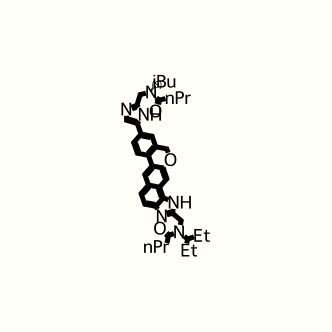 CCCC(=O)N(Cc1nc2ccc3cc4c(cc3c2[nH]1)OCc1cc(-c2cnc(CN(C(=O)CCC)[C@@H](C)CC)[nH]2)ccc1-4)C(CC)CC